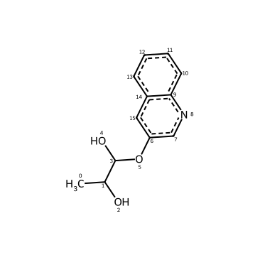 CC(O)C(O)Oc1cnc2ccccc2c1